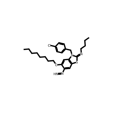 CCCCCCCCOc1cc2c(cc1N=N)s/c(=N/CCCC)n2Cc1ccc(Cl)cc1